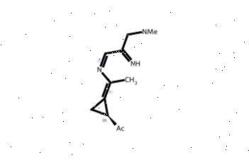 CNCC(=N)/C=N\C(C)=C1/C[C@@H]1C(C)=O